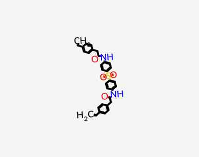 C=Cc1ccc(CC(=O)Nc2ccc(S(=O)(=O)c3ccc(NC(=O)Cc4ccc(C=C)cc4)cc3)cc2)cc1